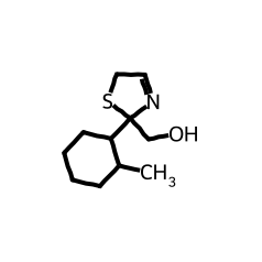 CC1CCCCC1C1(CO)N=CCS1